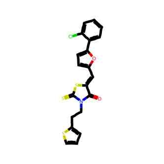 O=C1/C(=C/c2ccc(-c3ccccc3Cl)o2)SC(=S)N1CCc1cccs1